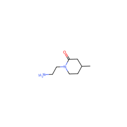 CC1CCN(CCN)C(=O)C1